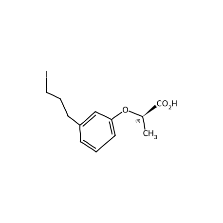 C[C@@H](Oc1cccc(CCCI)c1)C(=O)O